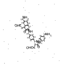 NCc1ccc(CN(NCc2ccc(CNN(Cc3ccc(CN)cc3)C(=O)CCC=O)cc2)C(=O)CCC=O)cc1